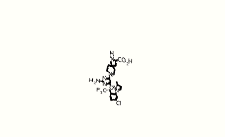 Cc1ccn(-c2cc(Cl)ccc2[C@@H](Oc2cc(N3CCC4(CC3)CNC(C(=O)O)C4)nc(N)n2)C(F)(F)F)n1